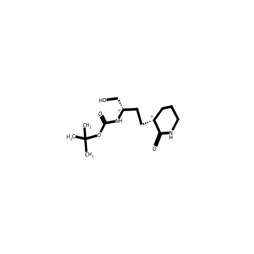 CC(C)(C)OC(=O)N[C@H](CO)CC[C@@H]1CCCNC1=O